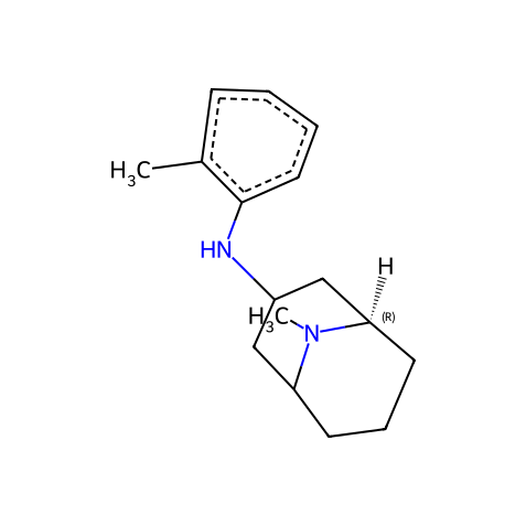 Cc1ccccc1NC1CC2CCC[C@H](C1)N2C